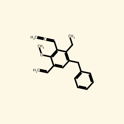 C=C=Cc1c(CC)c(Cc2ccccc2)cc(C=C)c1OC